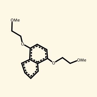 COCCOc1ccc(OCCOC)c2ccccc12